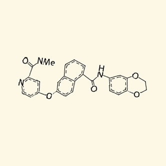 CNC(=O)c1cc(Oc2ccc3c(C(=O)Nc4ccc5c(c4)OCCO5)cccc3c2)ccn1